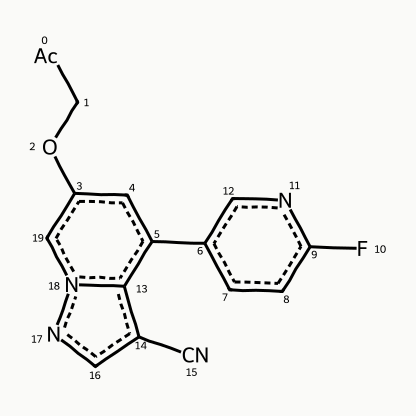 CC(=O)COc1cc(-c2ccc(F)nc2)c2c(C#N)cnn2c1